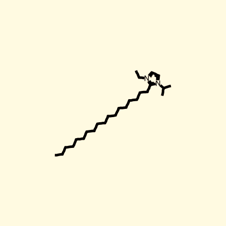 CCCCCCCCCCCCCCCCCCc1n(C(C)C)cc[n+]1CC